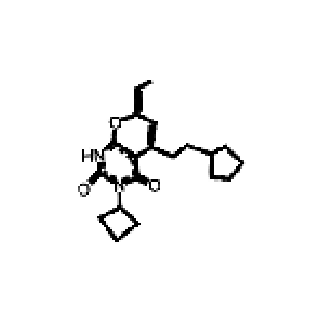 CC=C1C=C(CCC2CCCC2)c2c([nH]c(=O)n(C3CCC3)c2=O)O1